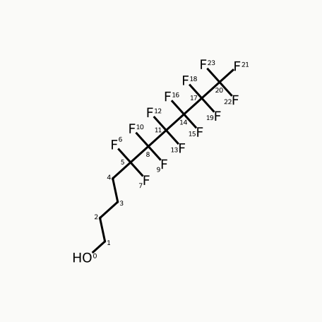 OCCCCC(F)(F)C(F)(F)C(F)(F)C(F)(F)C(F)(F)C(F)(F)F